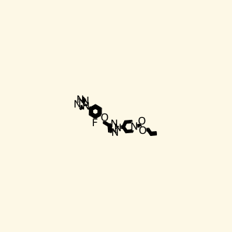 C=CCOC(=O)N1CCC(n2ncc(COc3ccc(-n4cnnn4)cc3F)n2)CC1